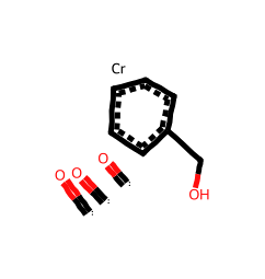 OCc1ccccc1.[C]=O.[C]=O.[C]=O.[Cr]